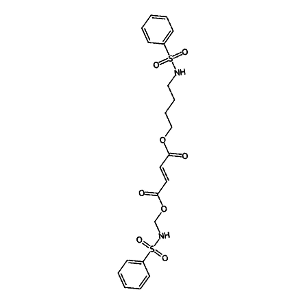 O=C(/C=C/C(=O)OCNS(=O)(=O)c1ccccc1)OCCCCNS(=O)(=O)c1ccccc1